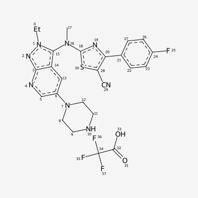 CCn1nc2ncc(N3CCNCC3)cc2c1N(C)c1nc(-c2ccc(F)cc2)c(C#N)s1.O=C(O)C(F)(F)F